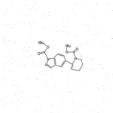 CC(C)(C)OC(=O)N1CCCC=C1c1ccc2c(cnn2C(=O)OC(C)(C)C)c1